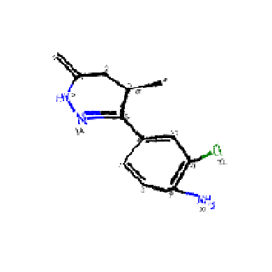 C=C1C[C@@H](C)C(c2ccc(N)c(Cl)c2)=NN1